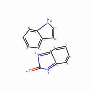 O=C1N=c2ccccc2=N1.c1ccc2[nH]ccc2c1